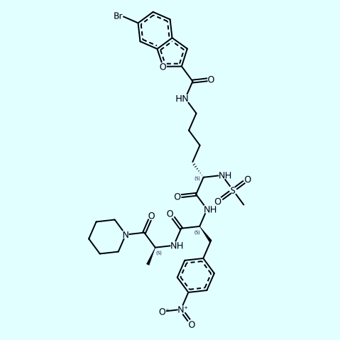 C[C@H](NC(=O)[C@H](Cc1ccc([N+](=O)[O-])cc1)NC(=O)[C@H](CCCCNC(=O)c1cc2ccc(Br)cc2o1)NS(C)(=O)=O)C(=O)N1CCCCC1